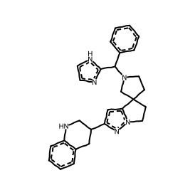 c1ccc(C(c2ncc[nH]2)N2CCC3(CCn4nc(C5CNc6ccccc6C5)cc43)C2)cc1